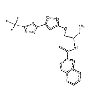 CCC(COc1cc(-c2noc(C(F)(F)F)n2)on1)NC(=O)c1ccc2ccccc2c1